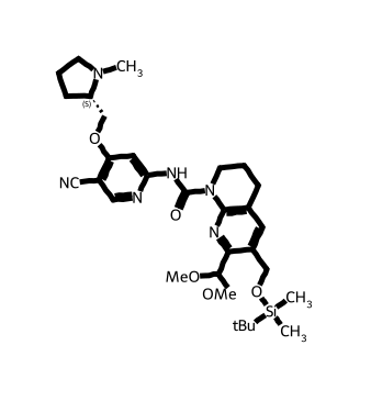 COC(OC)c1nc2c(cc1CO[Si](C)(C)C(C)(C)C)CCCN2C(=O)Nc1cc(OC[C@@H]2CCCN2C)c(C#N)cn1